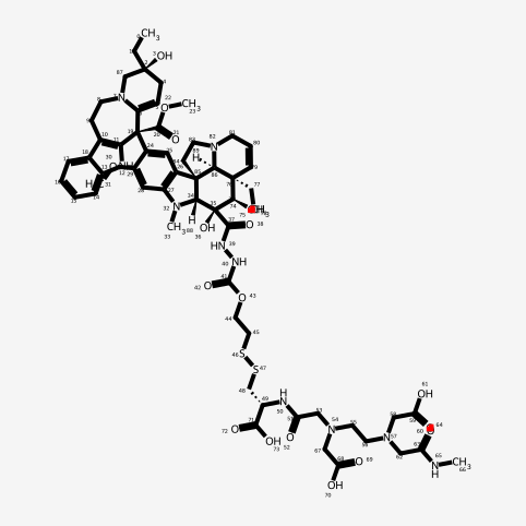 CC[C@]1(O)CC=C2N(CCc3c([nH]c4ccccc34)[C@@]2(C(=O)OC)c2cc3c(cc2OC)N(C)[C@H]2[C@@](O)(C(=O)NNC(=O)OCCSSC[C@H](NC(=O)CN(CCN(CC(=O)O)CC(=O)NC)CC(=O)O)C(=O)O)[C@H](O)[C@]4(CC)C=CCN5CC[C@]32[C@@H]54)C1